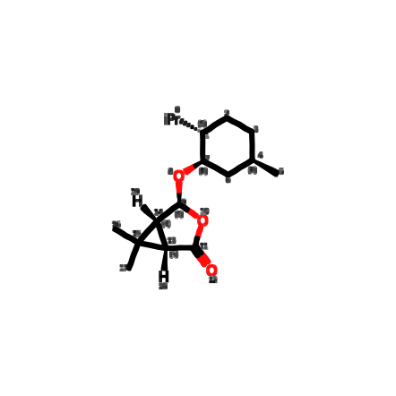 CC(C)[C@@H]1CC[C@@H](C)C[C@H]1O[C@H]1OC(=O)[C@H]2[C@@H]1C2(C)C